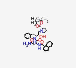 CC(C)(C)OC(=O)[C@@H]1CCCN1C[C@@H](O)[C@H](Cc1ccccc1)NC(=O)[C@H](CC(N)=O)NC(=O)c1cccc2ccccc12